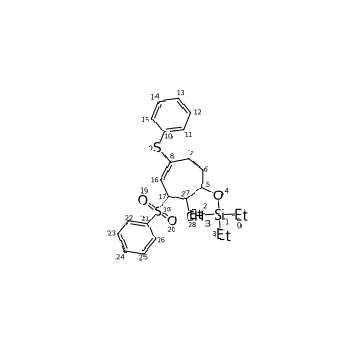 CC[Si](CC)(CC)OC1CCC(Sc2ccccc2)=CC(S(=O)(=O)c2ccccc2)C1C